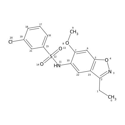 CCc1noc2cc(OC)c(NS(=O)(=O)c3cccc(Cl)c3)cc12